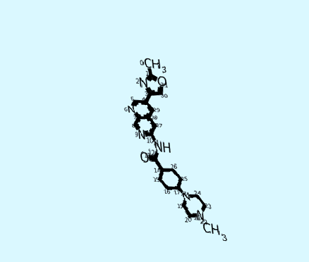 Cc1nc(-c2cnc3cnc(NC(=O)C4CCC(N5CCN(C)CC5)CC4)cc3c2)co1